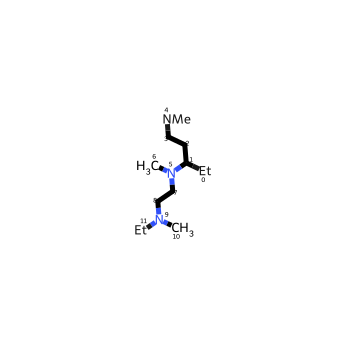 CCC(CCNC)N(C)CCN(C)CC